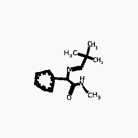 CNC(=O)C(N=CC(C)(C)C)c1ccccc1